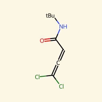 CC(C)(C)NC(=O)C=C=C(Cl)Cl